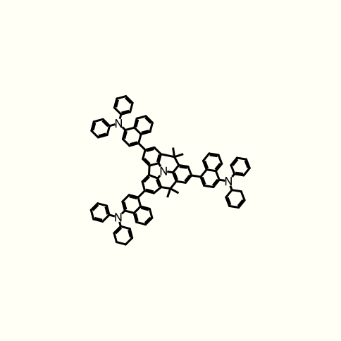 CC1(C)c2cc(-c3ccc(N(c4ccccc4)C4C=CC=CC4)c4ccccc34)cc3c2-n2c4c1cc(-c1ccc(N(C5=CCCC=C5)c5ccccc5)c5ccccc15)cc4c1cc(-c4ccc(N(c5ccccc5)c5ccccc5)c5ccccc45)cc(c12)C3(C)C